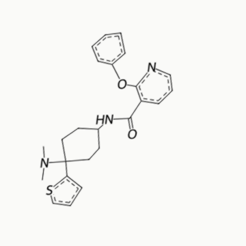 CN(C)C1(c2cccs2)CCC(NC(=O)c2cccnc2Oc2ccccc2)CC1